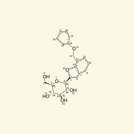 OC[C@H]1O[C@@H](c2cc3cccc(COc4ccccc4)c3o2)[C@H](O)[C@@H](O)[C@@H]1O